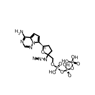 [N-]=[N+]=NC1(COP(=O)(O)OP(=O)(O)OP(=O)(O)O)CC[C@H](c2ccc3c(N)ncnn23)O1